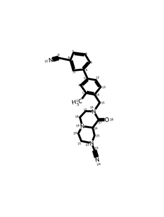 Cc1cc(-c2cccc(C#N)c2)ccc1CN1CCN2CCN(C#N)CC2C1=O